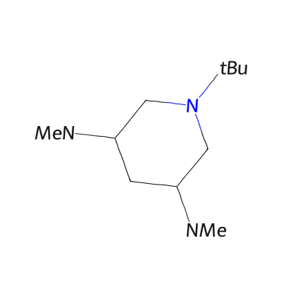 CNC1CC(NC)CN(C(C)(C)C)C1